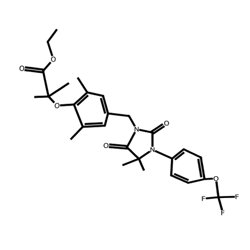 CCOC(=O)C(C)(C)Oc1c(C)cc(CN2C(=O)N(c3ccc(OC(F)(F)F)cc3)C(C)(C)C2=O)cc1C